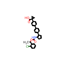 C[C@@H](OC(=O)NC1=C(c2ccc(-c3ccc(C4(C(=O)O)CC4)cc3)cc2)C=CC1)c1ccccc1Cl